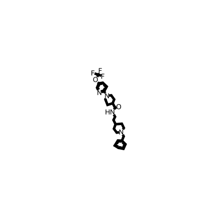 O=C(NCCC1CCN(Cc2ccccc2)CC1)C1CCN(c2ccc(OC(F)(F)F)cn2)CC1